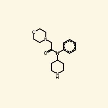 O=C(CN1CCOCC1)N(c1ccccc1)C1CCNCC1